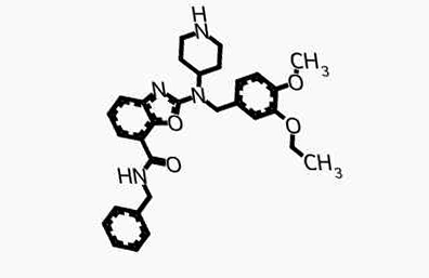 CCOc1cc(CN(c2nc3cccc(C(=O)NCc4ccccc4)c3o2)C2CCNCC2)ccc1OC